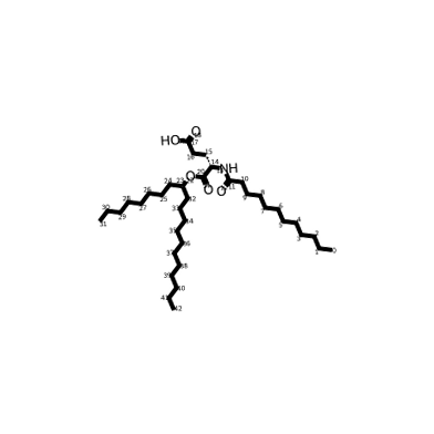 CCCCCCCCCCCC(=O)N[C@@H](CCC(=O)O)C(=O)OC(CCCCCCCC)CCCCCCCCCCC